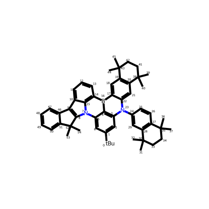 CC(C)(C)c1cc2c3c(c1)-n1c4c(c5cccc(c51)B3c1cc3c(cc1N2c1ccc2c(c1)C(C)(C)CCC2(C)C)C(C)(C)CCC3(C)C)-c1ccccc1C4(C)C